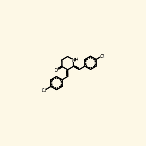 O=C1CCNC(=Cc2ccc(Cl)cc2)C1=Cc1ccc(Cl)cc1